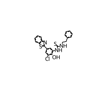 Oc1c(Cl)cc(-c2nc3ccccc3s2)cc1NC(=S)NCCc1ccccc1